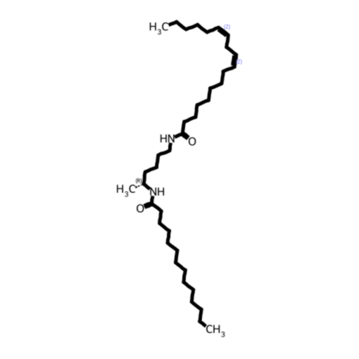 CCCCC/C=C\C/C=C\CCCCCCCC(=O)NCCCC[C@@H](C)NC(=O)CCCCCCCCCCCCC